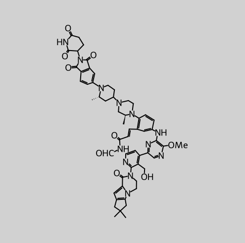 COc1ncc(-c2ccnc(N3CCn4c(cc5c4CC(C)(C)C5)C3=O)c2CO)nc1Nc1ccc(N2CCN(C3CCN(c4ccc5c(c4)C(=O)N(C4CCC(=O)NC4=O)C5=O)[C@@H](C)C3)C[C@@H]2C)c(C=CC(=O)NC=O)c1